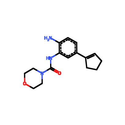 Nc1ccc(C2=CCCC2)cc1NC(=O)N1CCOCC1